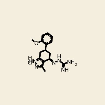 COc1ccccc1C1CC(=NNC(=N)N)c2c(C)n[nH]c2C1.Cl